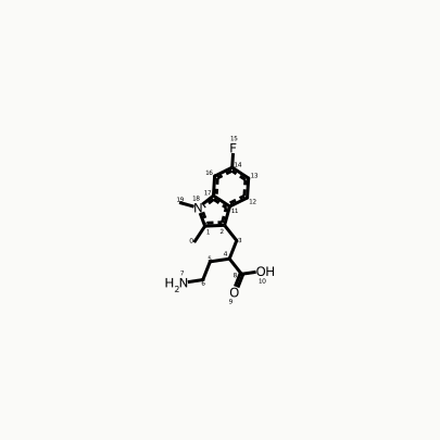 Cc1c(CC(CCN)C(=O)O)c2ccc(F)cc2n1C